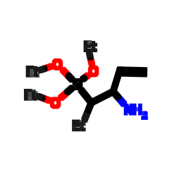 C=CC(N)C(CC)[Si](OCC)(OCC)OCC